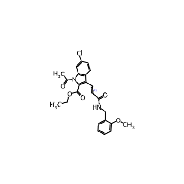 CCOC(=O)c1c(/C=C/C(=O)NCc2ccccc2OC)c2ccc(Cl)cc2n1C(C)=O